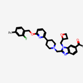 CCC(=O)c1ccc2nc(CN3CCC(c4cccc(OCc5ccc(C(C)=O)cc5F)n4)CC3)n(CC3CCO3)c2c1